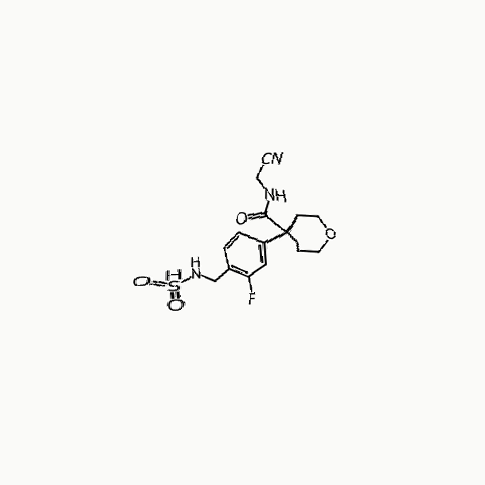 N#CCNC(=O)C1(c2ccc(CN[SH](=O)=O)c(F)c2)CCOCC1